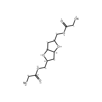 N#CCC(=O)OCC1CC2OC(COC(=O)CC#N)CC2O1